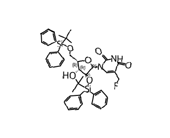 CC(C)(C)[Si](OC[C@H]1O[C@@H](n2cc(CF)c(=O)[nH]c2=O)[C@H](O[Si](c2ccccc2)(c2ccccc2)C(C)(C)C)[C@@H]1O)(c1ccccc1)c1ccccc1